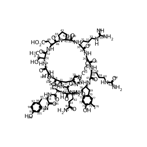 C[C@@H](O)[C@@H]1NC(=O)[C@H]2NC(=O)[C@@H](NC(=O)CN)Cc3cn(nn3)CCCC(NC(=O)[C@H](CCCNC(=N)N)NC(=O)[C@@H]3CCCN3C(=O)[C@H](CC(=O)O)NC1=O)C(=O)N[C@@H](CCCNC(N)=O)C(=O)NC(Cc1ccc(O)c(I)c1)C(=O)N[C@@H](CCC(N)=O)C(=O)N[C@H](C(=O)N[C@@H](Cc1ccc(O)cc1)C(N)=O)CSS2